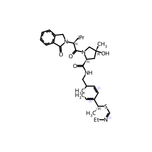 C/C=C(\C=C/C(C)CNC(=O)[C@@H]1C[C@@](C)(O)CN1C(=O)[C@H](C(C)C)N1Cc2ccccc2C1=O)[C@@H](C)S/C=N\CC